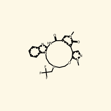 Cn1ncc2c1OCCN(CC(F)(F)F)CCn1c(nc3ccccc31)NC(=O)c1cc-2c(=O)n(C)c1